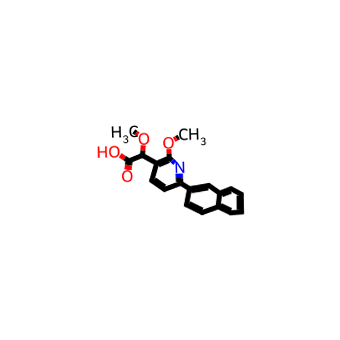 COc1nc(-c2ccc3ccccc3c2)ccc1C(OC)C(=O)O